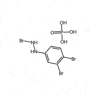 BrNNc1ccc(Br)c(Br)c1.O=P(O)(O)O